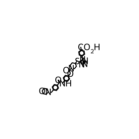 O=C(O)c1ccc(-n2nnnc2SC2CCN(C(=O)Oc3ccc(NC(=O)c4ccc(CN5CCOCC5)cc4)cc3)CC2)cc1